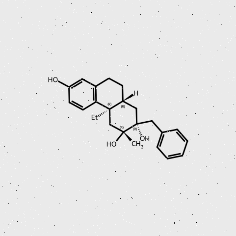 CC[C@@]12C[C@@](C)(O)[C@](O)(Cc3ccccc3)C[C@H]1CCc1cc(O)ccc12